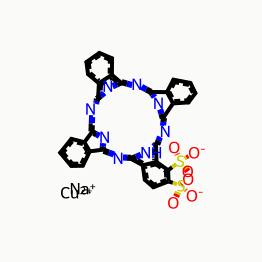 O=S(=O)([O-])c1ccc2c3nc4nc(nc5[n-]c(nc6nc(nc([nH]3)c2c1S(=O)(=O)[O-])-c1ccccc1-6)c1ccccc51)-c1ccccc1-4.[Cu+2].[Na+]